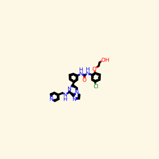 O=C(Nc1cccc(-c2cn3ccnc3c(NCc3ccncc3)n2)c1)Nc1cc(Cl)ccc1OCCO